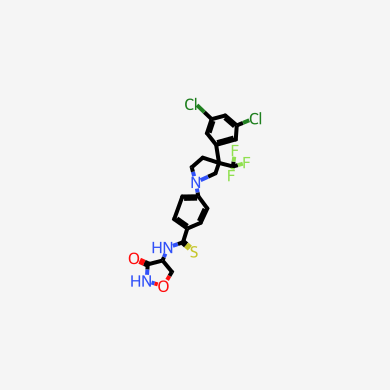 O=C1NOCC1NC(=S)c1ccc(N2CCC(c3cc(Cl)cc(Cl)c3)(C(F)(F)F)C2)cc1